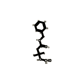 CC(C)(CC(=O)OCc1ccccc1)OC=O